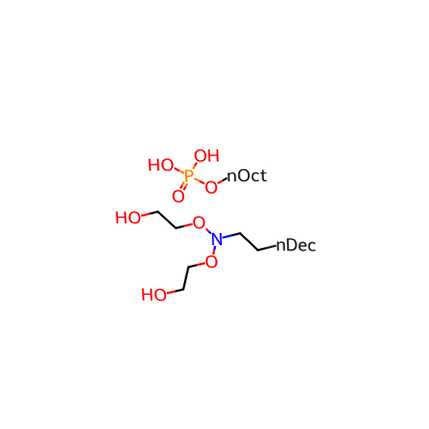 CCCCCCCCCCCCN(OCCO)OCCO.CCCCCCCCOP(=O)(O)O